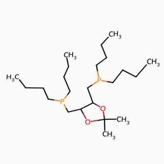 CCCCP(CCCC)CC1OC(C)(C)OC1CP(CCCC)CCCC